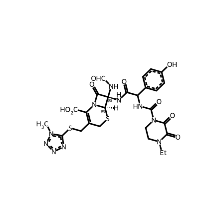 CCN1CCN(C(=O)NC(C(=O)N[C@]2(NC=O)C(=O)N3C(C(=O)O)=C(CSc4nnnn4C)CS[C@@H]32)c2ccc(O)cc2)C(=O)C1=O